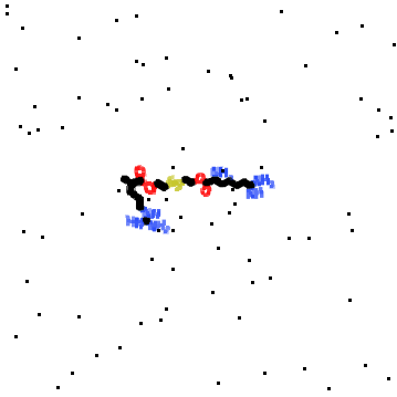 CC(CCCNC(=N)N)C(=O)OCCSSCCOC(=O)C(N)CCCCC(=N)N